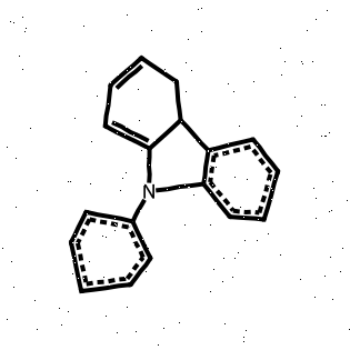 C1=CCC2C(=C1)N(c1ccccc1)c1ccccc12